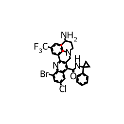 NC1CCN(Cc2c(-c3cccc(C(F)(F)F)c3)nc3c(Br)cc(Cl)cc3c2C(=O)NC2(c3ccccc3)CC2)CC1